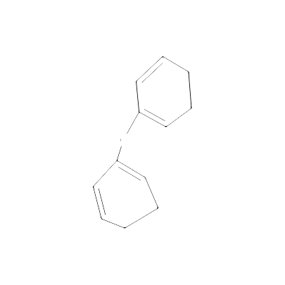 C1=CC(CC2=CCCC=C2)=CCC1